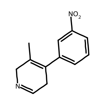 CC1=C(c2cccc([N+](=O)[O-])c2)CC=NC1